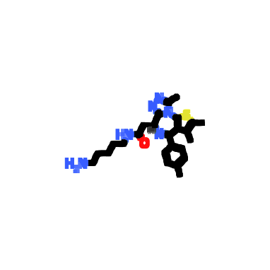 Cc1ccc(C2=N[C@@H](CC(=O)NCCCCCN)c3nnc(C)n3-c3sc(C)c(C)c32)cc1